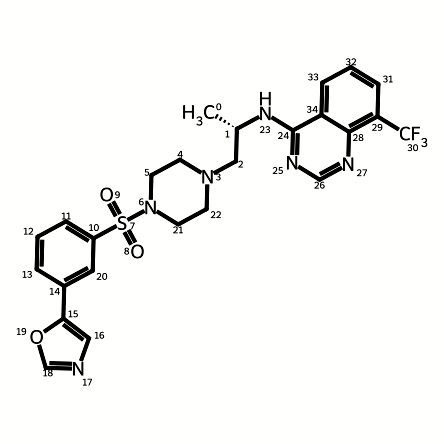 C[C@@H](CN1CCN(S(=O)(=O)c2cccc(-c3cnco3)c2)CC1)Nc1ncnc2c(C(F)(F)F)cccc12